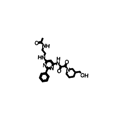 CC(=O)NCCNc1cc(NC(=O)C(=O)N2CCCC(CO)C2)nc(-c2ccccc2)n1